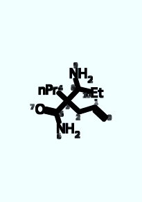 C=CCC(CCC)(C(N)=O)C(N)CC